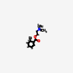 CCCCN(C)CCOC(=O)c1ccccc1CC